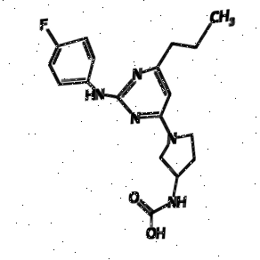 CCCc1cc(N2CCC(NC(=O)O)C2)nc(Nc2ccc(F)cc2)n1